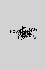 CO/N=C1\CN(c2nc3c(cc2F)c(=O)c(C(=O)O)cn3C2CC2)CC1CN.O.O=CO